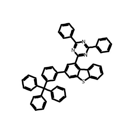 c1ccc(-c2nc(-c3ccccc3)nc(-c3cc(-c4cccc(C(c5ccccc5)(c5ccccc5)c5ccccc5)c4)cc4sc5ccccc5c34)n2)cc1